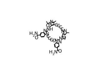 CCn1nc(C)c2c1C(=O)Nc1nc3cc(C(N)=O)ccc3n1CCCCn1c(nc3cc(C(N)=O)ccc31)NC(=O)c1cc(C)nn1CCCC2